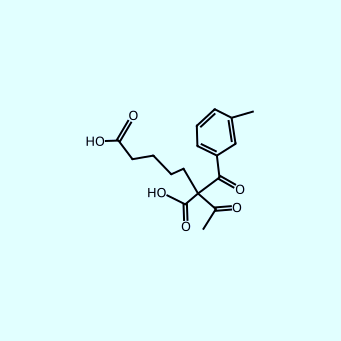 CC(=O)C(CCCCC(=O)O)(C(=O)O)C(=O)c1cccc(C)c1